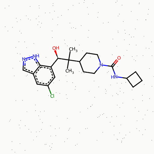 CC(C)(C1CCN(C(=O)NC2CCC2)CC1)[C@H](O)c1cc(Cl)cc2cn[nH]c12